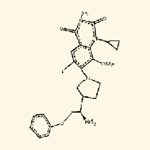 COc1c(N2CCC([C@@H](N)COc3ccccc3)C2)c(F)cc2c(=O)n(N)c(=O)n(C3CC3)c12